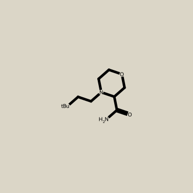 CC(C)(C)[CH]CN1CCOCC1C(N)=O